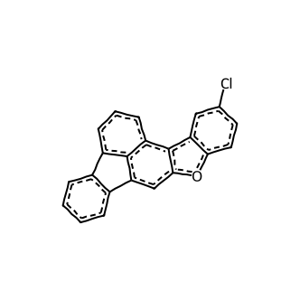 Clc1ccc2oc3cc4c5c(cccc5c3c2c1)-c1ccccc1-4